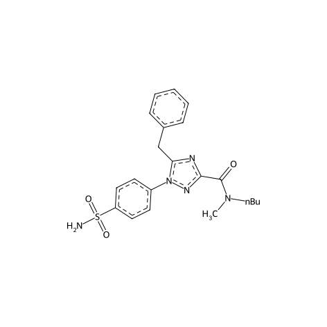 CCCCN(C)C(=O)c1nc(Cc2ccccc2)n(-c2ccc(S(N)(=O)=O)cc2)n1